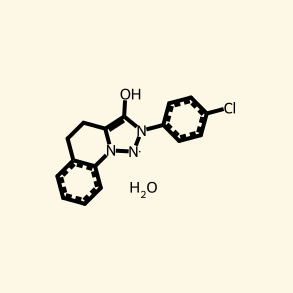 O.OC1=C2CCc3ccccc3N2[N]N1c1ccc(Cl)cc1